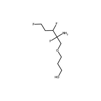 NC(F)(COCCCO)C(F)CCF